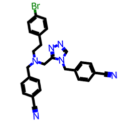 N#Cc1ccc(CN(CCc2ccc(Br)cc2)Cc2nncn2Cc2ccc(C#N)cc2)cc1